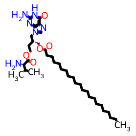 CCCCCCCCCCCCCCCCCCCCCC(=O)OC[C@H](CCOC(=O)[C@@H](N)C(C)C)Cn1cnc2c(=O)[nH]c(N)nc21